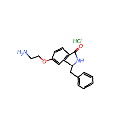 Cl.NCCOc1ccc2c(c1)C(Cc1ccccc1)NC2=O